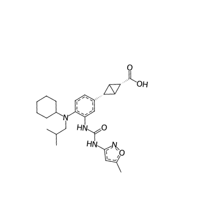 Cc1cc(NC(=O)Nc2cc([C@H]3C4C3[C@@H]4C(=O)O)ccc2N(CC(C)C)C2CCCCC2)no1